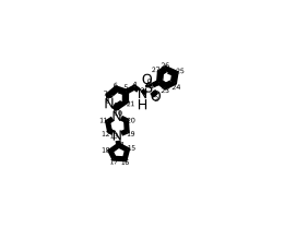 O=S(=O)(NCc1ccnc(N2CCN(C3CCCC3)CC2)c1)c1ccccc1